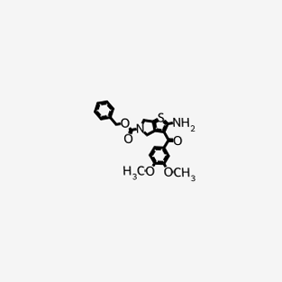 COc1ccc(C(=O)c2c(N)sc3c2CN(C(=O)OCc2ccccc2)C3)cc1OC